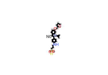 N#Cc1c(-c2ccc(NCCC[SH](=O)=O)cc2)n(C2CC2)c2cc(OC[C@H]3CCCO3)ccc12